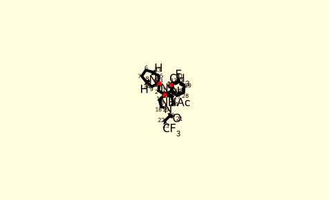 CC(=O)N[C@@H](CCN1[C@@H]2CC[C@H]1C[C@@H](n1c(C)nc3c1CCN(C(=O)CC(F)(F)F)C3)C2)c1cccc(F)c1